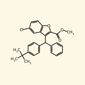 COC(=O)c1oc2ccc(Cl)cc2c1C(c1ccccc1)c1ccc(C(C)(C)C)cc1